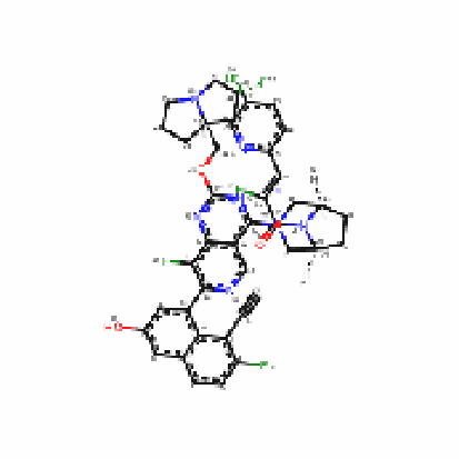 C#Cc1c(F)ccc2cc(O)cc(-c3ncc4c(N5C[C@H]6CC[C@@H](C5)N6C(=O)/C(F)=C/c5ccc(Br)cn5)nc(OC[C@@]56CCCN5C[C@H](F)C6)nc4c3F)c12